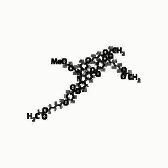 C=CC(=O)OCCCCCCOC1CCC(C(=O)Oc2ccc3c(c2)nc(N(CCOCCOC)c2ccc(OCCCCCOC(=O)C=C)cc2)c2cc(OC(=O)C4CCC(OCCCCCCOC(=O)C=C)CC4)ccc23)CC1